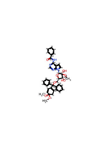 COC1(OC)C=CC(C(OC[C@H]2O[C@@H](n3ccc4c(NC(=O)c5ccccc5)ncnc43)[C@@](O)(OC)[C@@H]2O)(c2ccccc2)c2ccccc2)=CC1